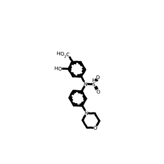 O=C(O)c1ccc(N(c2cccc(N3CCOCC3)c2)[SH](=O)=O)cc1O